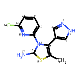 CC1=C(c2cn[nH]c2)N(c2cccc(F)n2)C(N)S1